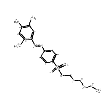 Cc1cc(/N=N/c2ccc(S(=O)(=O)CCOSOOO)cc2)c(C)cc1N